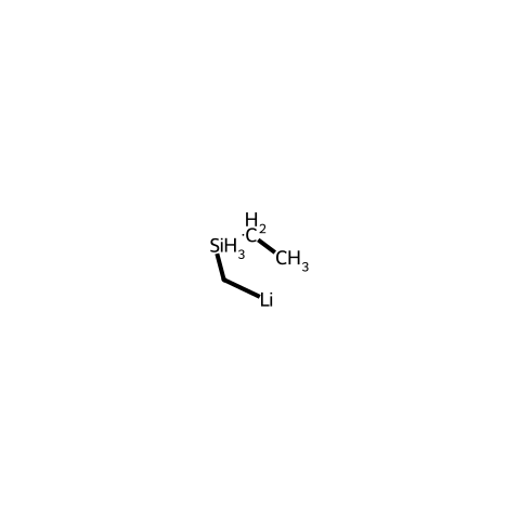 [CH2]C.[Li][CH2][SiH3]